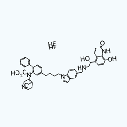 F.F.O=C(O)N(c1cc(CCCCn2ccc3cc(CNC[C@H](O)c4ccc(O)c5[nH]c(=O)ccc45)ccc32)ccc1-c1ccccc1)C1CN2CCC1CC2